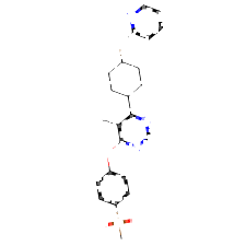 CS(=O)(=O)c1ccc(Oc2ncnc(C3CCC(Sc4ccccn4)CC3)c2[N+](=O)[O-])cc1